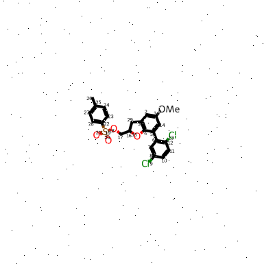 COc1cc2c(c(-c3cc(Cl)ccc3Cl)c1)OC(COS(=O)(=O)c1ccc(C)cc1)C2